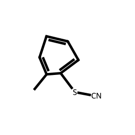 Cc1ccccc1SC#N